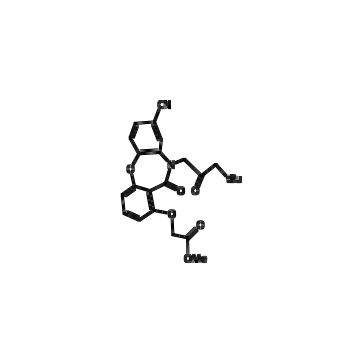 COC(=O)COc1cccc2c1C(=O)N(CC(=O)CC(C)(C)C)c1cc(C#N)ccc1O2